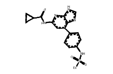 CCS(=O)(=O)Nc1ccc(-c2cc(NC(=O)C3CC3)nc3[nH]cnc23)cc1